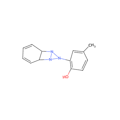 Cc1ccc(O)c(-n2n3n2C2C=CC=CC23)c1